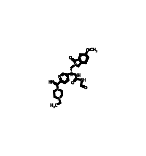 CCN1CCN(C(=N)c2ccc([C@H](CN3Cc4ccc(OC)cc4C3=O)NC(=O)NC=O)cn2)CC1